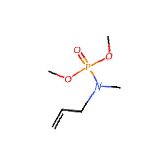 C=CCN(C)P(=O)(OC)OC